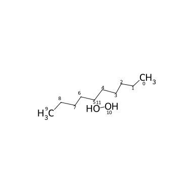 CCCCCCCCCC.OO